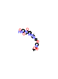 CC1c2nc(N3CCN([C@H]4C[C@H](OC5CCN(C(=O)OC(C)(C)C)CC5)C4)C[C@H]3C)ccc2C(=O)N1C1CCC(=O)NC1=O